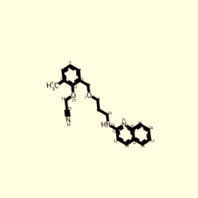 Cc1cccc(COCCCNc2ccc3ccccc3n2)c1OCC#N